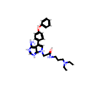 CCN(CC)CCCNC(=O)Cn1cc(-c2ccc(Oc3ccccc3)cc2)c2c(N)ncnc21